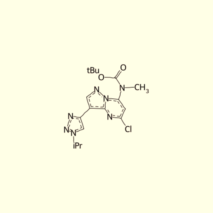 CC(C)n1cc(-c2cnn3c(N(C)C(=O)OC(C)(C)C)cc(Cl)nc23)nn1